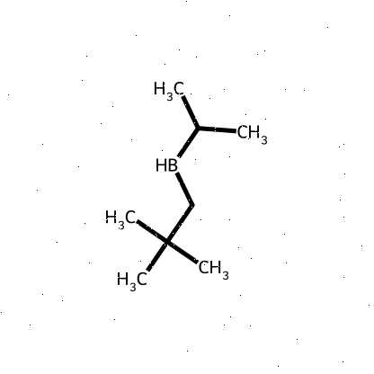 CC(C)BCC(C)(C)C